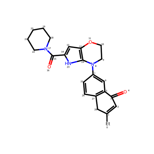 CCC1=CC(=O)c2cc(N3CCOc4cc(C(=O)N5CCCCC5)[nH]c43)ccc2C1